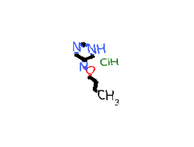 C/C=C/CO/N=C1/CN=CNC1.Cl